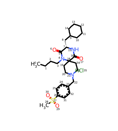 CCCCN1C(=O)[C@H](CC2CCCCC2)NC(=O)C12CCN(Cc1ccc(S(C)(=O)=O)cc1)CC2.Cl